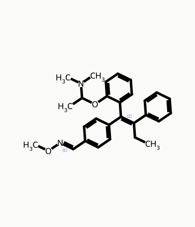 CC/C(=C(\c1ccc(/C=N/OC)cc1)c1ccccc1OC(C)N(C)C)c1ccccc1